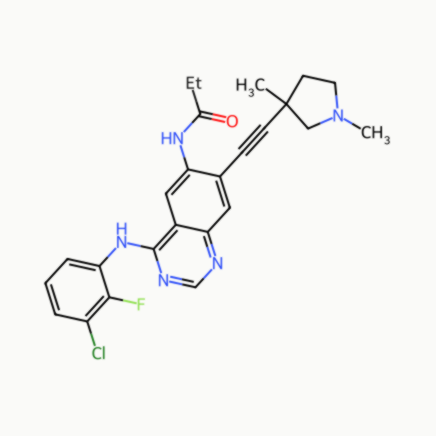 CCC(=O)Nc1cc2c(Nc3cccc(Cl)c3F)ncnc2cc1C#CC1(C)CCN(C)C1